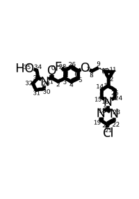 O=C(Cc1ccc(OCC[C@@H]2CC2C2CCN(c3ncc(Cl)cn3)CC2)cc1F)N1CCCC1CO